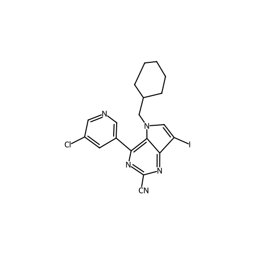 N#Cc1nc(-c2cncc(Cl)c2)c2c(n1)c(I)cn2CC1CCCCC1